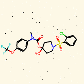 CN(C(=O)OC1(O)CCN(S(=O)(=O)c2ccccc2Cl)CC1)c1ccc(OC(F)(F)F)cc1